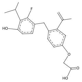 C=C(C)c1cc(OCC(=O)O)ccc1Cc1ccc(O)c(C(C)C)c1F